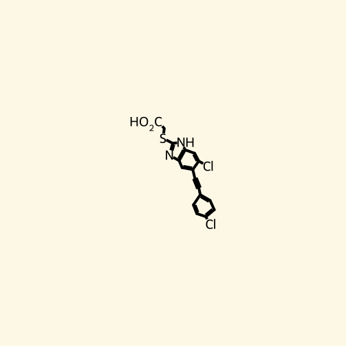 O=C(O)CSc1nc2cc(C#Cc3ccc(Cl)cc3)c(Cl)cc2[nH]1